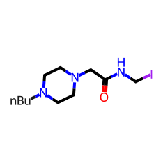 CCCCN1CCN(CC(=O)NCI)CC1